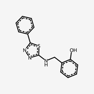 Oc1ccccc1CNc1nnc(-c2ccccc2)s1